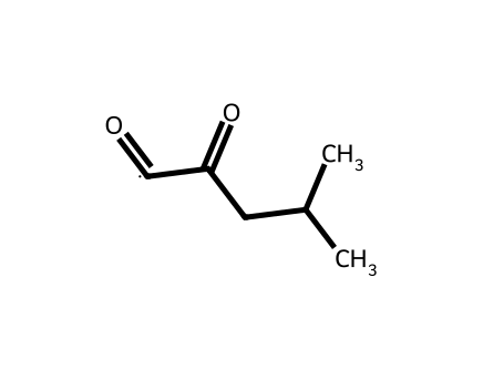 CC(C)CC(=O)[C]=O